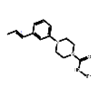 C/C=C/c1cccc(N2CCN(C(=O)NC(C)C)CC2)c1